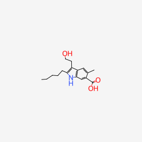 CCCCCc1[nH]c2cc(C(=O)O)c(C)cc2c1CCO